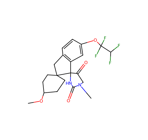 COC1CCC2(CC1)Cc1ccc(OC(F)(F)C(F)F)cc1C21NC(=O)N(C)CC1=O